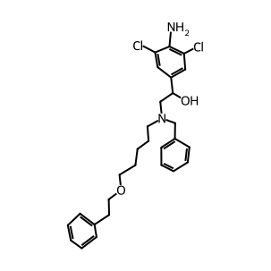 Nc1c(Cl)cc(C(O)CN(CCCCCOCCc2ccccc2)Cc2ccccc2)cc1Cl